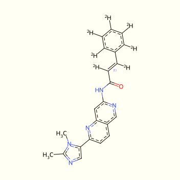 [2H]/C(C(=O)Nc1cc2nc(-c3cnc(C)n3C)ccc2cn1)=C(/[2H])c1c([2H])c([2H])c([2H])c([2H])c1[2H]